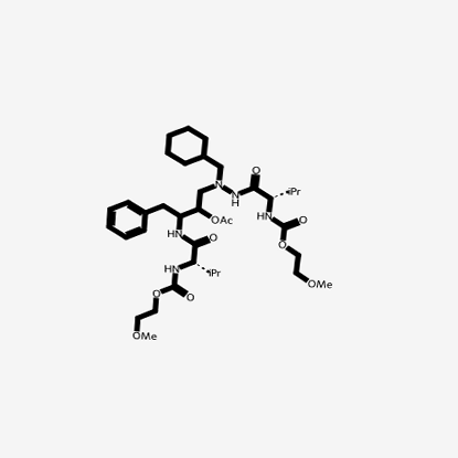 COCCOC(=O)N[C@H](C(=O)NC(Cc1ccccc1)C(CN(CC1CCCCC1)NC(=O)[C@@H](NC(=O)OCCOC)C(C)C)OC(C)=O)C(C)C